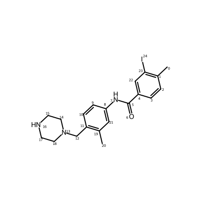 Cc1ccc(C(=O)Nc2ccc(CN3CCNCC3)c(C)c2)cc1I